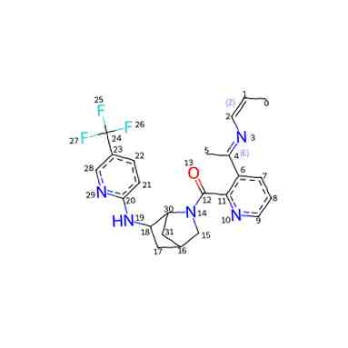 C/C=C\N=C(/C)c1cccnc1C(=O)N1CC2CC(Nc3ccc(C(F)(F)F)cn3)C1C2